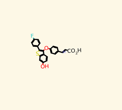 O=C(O)/C=C/c1ccc(Oc2c(-c3ccc(F)cc3)sc3cc(O)ccc23)cc1